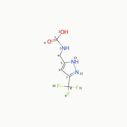 O=C(O)NCc1cc(C(F)(F)F)n[nH]1